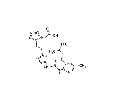 Cc1ccc(NC(=O)Nc2ncc(CSc3nnnn3CC(=O)O)s2)c(OCC(C)C)c1